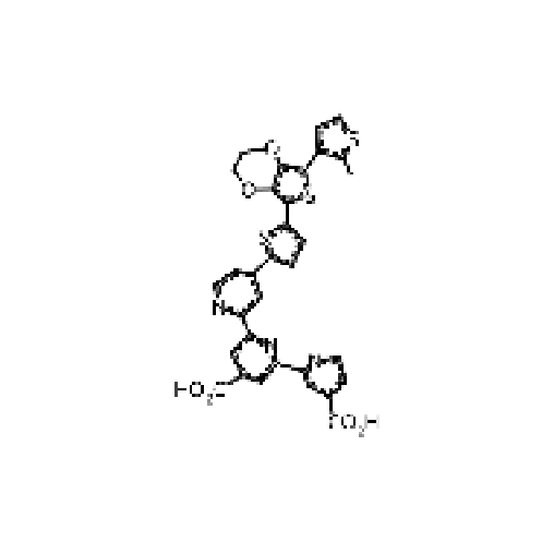 Cc1sccc1-c1sc(-c2ccc(-c3ccnc(-c4cc(C(=O)O)cc(-c5cc(C(=O)O)ccn5)n4)c3)s2)c2c1OCCO2